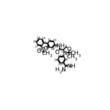 CC1(C)OCC(C(=O)Nc2ccc(-c3ccccc3S(C)(=O)=O)cc2)N1c1cccc(C(=N)N)c1